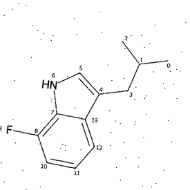 CC(C)Cc1c[nH]c2c(F)cccc12